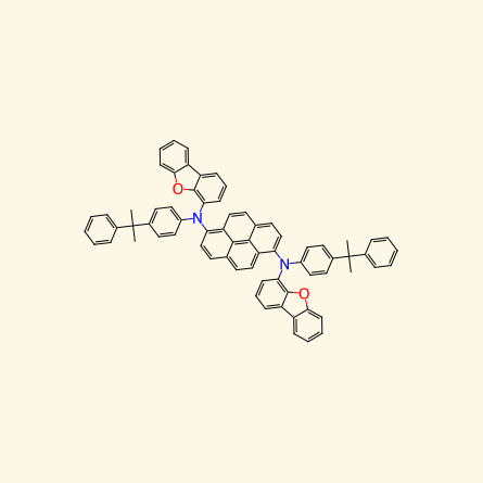 CC(C)(c1ccccc1)c1ccc(N(c2ccc3ccc4c(N(c5ccc(C(C)(C)c6ccccc6)cc5)c5cccc6c5oc5ccccc56)ccc5ccc2c3c54)c2cccc3c2oc2ccccc23)cc1